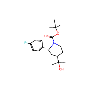 CC(C)(C)OC(=O)N1CC[C@@H](C(C)(C)O)C[C@@H]1c1ccc(F)cc1